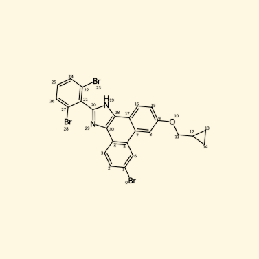 Brc1ccc2c(c1)c1cc(OCC3CC3)ccc1c1[nH]c(-c3c(Br)cccc3Br)nc21